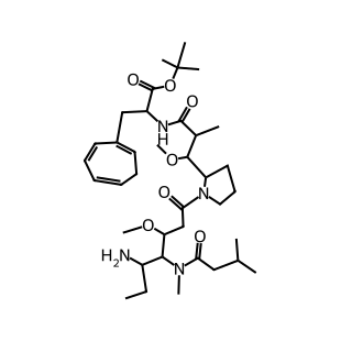 CCC(N)C(C(CC(=O)N1CCCC1C(OC)C(C)C(=O)NC(CC1=CCC=CC=C1)C(=O)OC(C)(C)C)OC)N(C)C(=O)CC(C)C